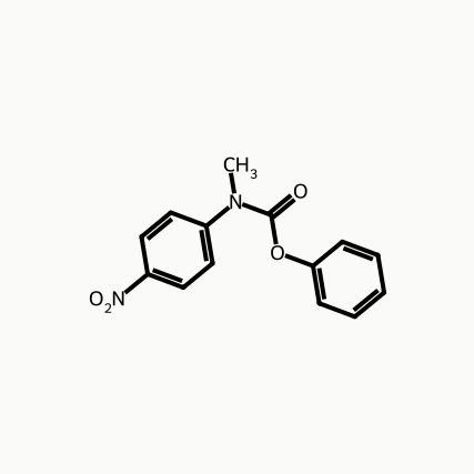 CN(C(=O)Oc1ccccc1)c1ccc([N+](=O)[O-])cc1